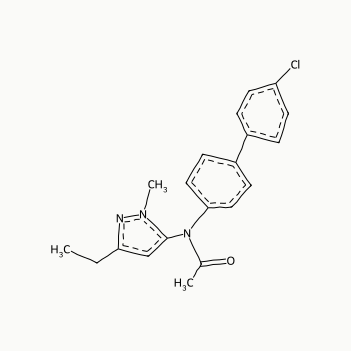 CCc1cc(N(C(C)=O)c2ccc(-c3ccc(Cl)cc3)cc2)n(C)n1